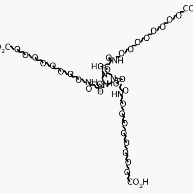 O=C(O)CCOCCOCCOCCOCCOCCOCCOCCOCCNC(=O)CCP(=O)(O)CN1CCN(CP(=O)(O)CCC(=O)NCCOCCOCCOCCOCCOCCOCCOCCOCCC(=O)O)CCN(CP(=O)(O)CCC(=O)NCCOCCOCCOCCOCCOCCOCCOCCOCCC(=O)O)CC1